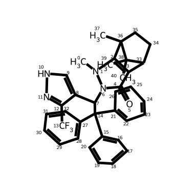 Cn1c2c(c(=O)n1C(c1c[nH]nc1C(F)(F)F)C(c1ccccc1)(c1ccccc1)c1ccccc1)C1CCC2(C)C1(C)C